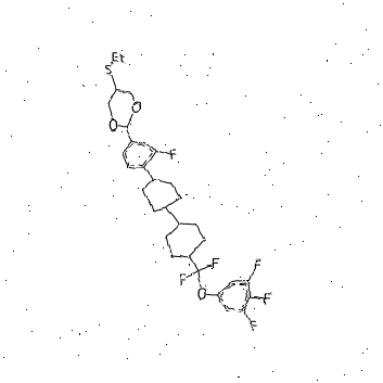 CCSC1COC(c2ccc(C3CCC(C4CCC(C(F)(F)Oc5cc(F)c(F)c(F)c5)CC4)CC3)c(F)c2)OC1